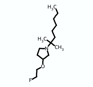 CCCCCCC(C)(C)N1CCC(OCCF)C1